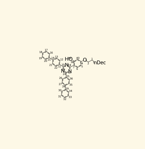 CCCCCCCCCCCCOc1ccc(-c2nc(-c3ccc(-c4ccccc4)cc3)nc(-c3ccc(-c4ccccc4)cc3)n2)c(O)c1